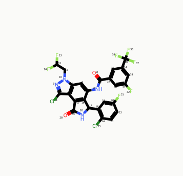 O=C(Nc1cc2c(c(Cl)nn2CC(F)F)c2c1C(c1cc(F)ccc1Cl)NC2=O)c1cc(F)cc(C(F)(F)F)c1